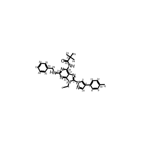 CCn1c(-n2cc(-c3ccc(C)cc3)cn2)nc2c(NC(=O)C(C)(C)C)nc(NCc3ccccc3)nc21